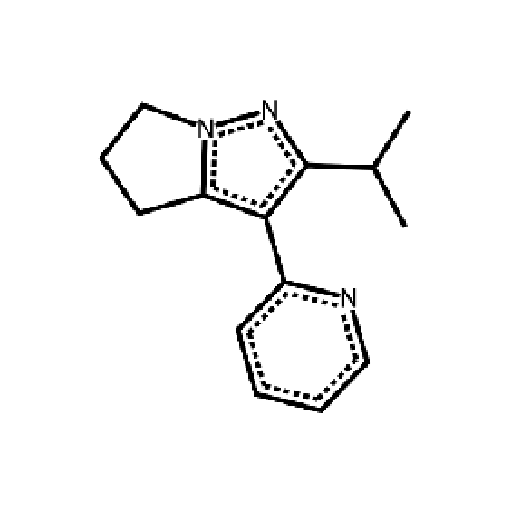 CC(C)c1nn2c(c1-c1ccccn1)CCC2